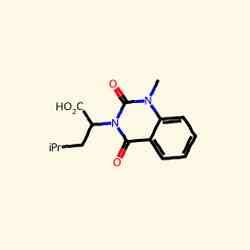 CC(C)CC(C(=O)O)n1c(=O)c2ccccc2n(C)c1=O